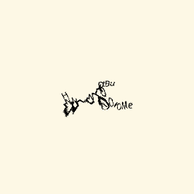 COCCOc1cccc(C(CC(=O)OC(C)(C)C)CN2CC[C@@H](CCc3ccc4c(n3)NCCC4)C2)c1